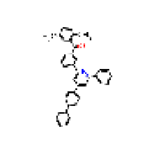 Cc1ccc(C)c(C(=O)c2cccc(-c3cc(-c4ccc(-c5ccccc5)cc4)cc(-c4ccccc4)n3)c2)c1